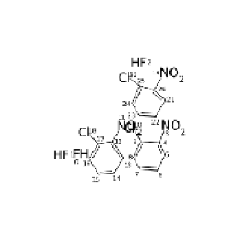 F.F.F.O=[N+]([O-])c1ccccc1Cl.O=[N+]([O-])c1ccccc1Cl.O=[N+]([O-])c1ccccc1Cl